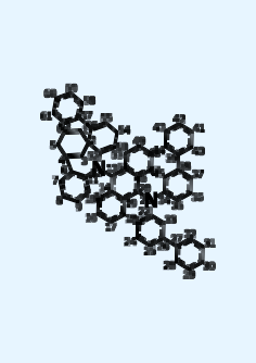 C1=CC23C=C(C1)c1ccccc1N(c1c4ccccc4c(N(c4cccc(-c5ccccc5)c4)c4cccc(-c5ccccc5)c4)c4ccccc14)C2=CCC=C3c1ccccc1